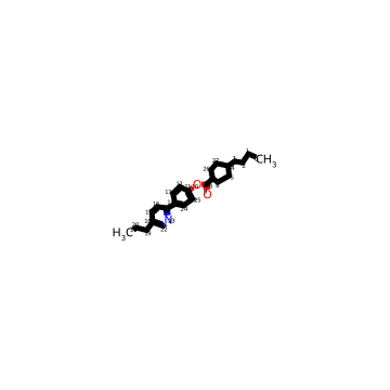 CCCCC1CCC(C(=O)Oc2ccc(-c3ccc(CCC)cn3)cc2)CC1